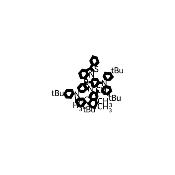 Cc1cc2c(cc1N1c3cc(N(c4ccc(C(C)(C)C)cc4)c4ccc(C(C)(C)C)cc4)ccc3B3c4c1cc(N(c1ccc(C(C)(C)C)cc1)c1ccc(C(C)(C)C)cc1)cc4-n1c4sc5ccccc5c4c4cccc3c41)C(C)(C)CCC2(C)C